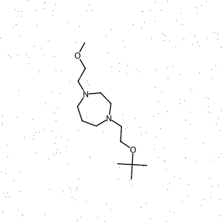 COCCN1CCCN(CCOC(C)(C)C)CC1